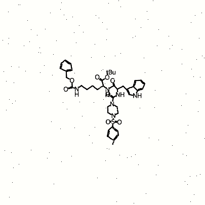 Cc1ccc(S(=O)(=O)N2CCN(C(=O)NC(Cc3c[nH]c4ccccc34)C(=O)NC(CCCCNC(=O)OCc3ccccc3)C(=O)OC(C)(C)C)CC2)cc1